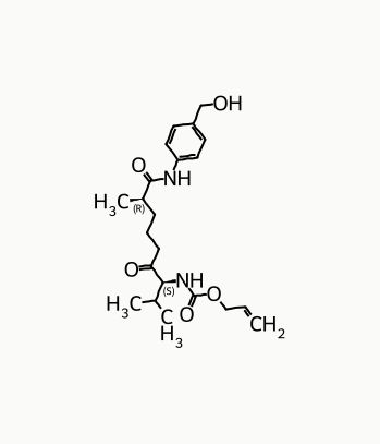 C=CCOC(=O)N[C@H](C(=O)CCC[C@@H](C)C(=O)Nc1ccc(CO)cc1)C(C)C